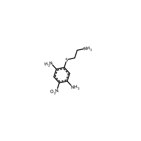 NCCSc1cc(N)c([N+](=O)[O-])cc1N